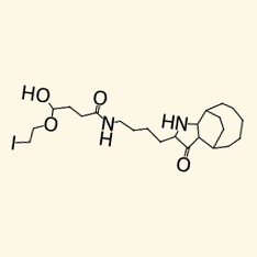 O=C(CCC(O)OCCI)NCCCCC1NC2C3CCCCCC(CC3)C2C1=O